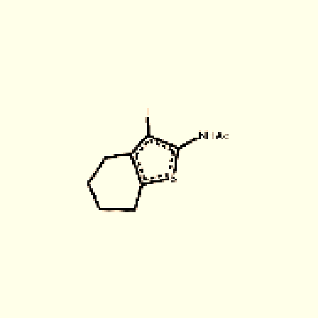 CC(=O)Nc1sc2c(c1I)CCCC2